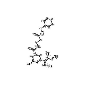 CCCN/C(=C(\C=N)C(F)(F)F)c1cc(F)cc(C(=O)NCCC(=O)OCc2ccccc2)c1